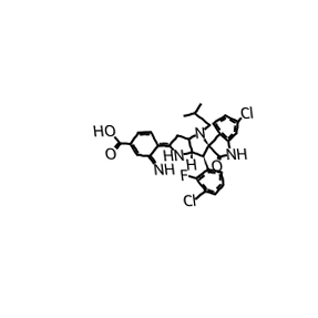 CC(C)CN1C2C/C(=C3\C=CC(C(=O)O)=CC3=N)N[C@H]2[C@H](c2cccc(Cl)c2F)[C@]12C(=O)Nc1cc(Cl)ccc12